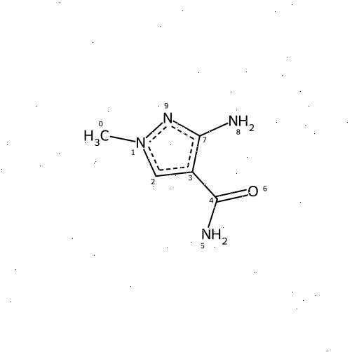 Cn1cc(C(N)=O)c(N)n1